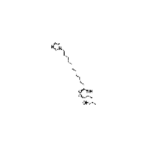 CC(C)C[C@H](NC(=O)CCCCCCCCCCCn1ccnc1)C(=O)O